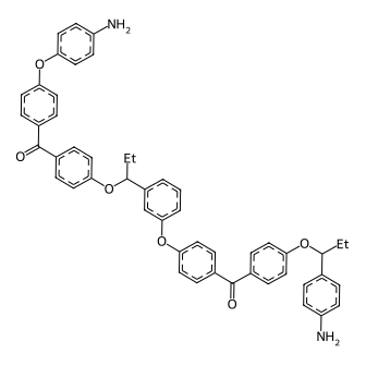 CCC(Oc1ccc(C(=O)c2ccc(Oc3cccc(C(CC)Oc4ccc(C(=O)c5ccc(Oc6ccc(N)cc6)cc5)cc4)c3)cc2)cc1)c1ccc(N)cc1